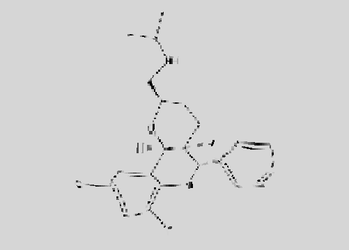 CC(C)NC[C@H]1CC[C@@H]2[C@H](O1)c1cc(Cl)cc(F)c1N[C@H]2c1ccccc1